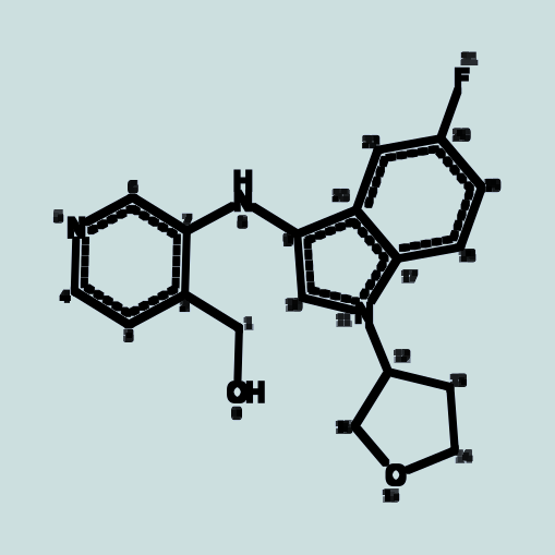 OCc1ccncc1Nc1cn(C2CCOC2)c2ccc(F)cc12